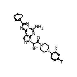 CCCC(C(=O)N1CCN(c2ccc(F)cc2F)CC1)n1ncc2c1nc(N)n1nc(-c3ccco3)nc21